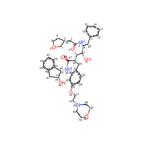 O=C(C[C@@H]1CCOC1)NC(Cc1ccccc1)C(O)CC(Cc1ccc(OCCN2CCOCC2)cc1)C(=O)N[C@H]1c2ccccc2C[C@@H]1O